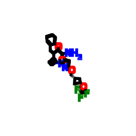 NC(=O)C1Oc2ccccc2CC1C12CC(C1)C2n1ccc(OC[C@H]2C[C@@H](OC(F)(F)F)C2)n1